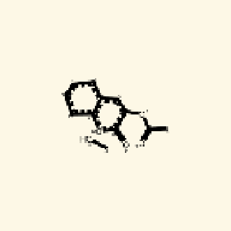 CC(=O)Oc1cc2ccccc2oc1=O.CO